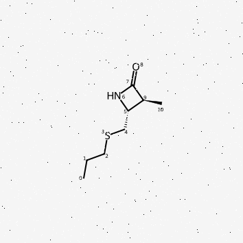 CCCSC[C@@H]1NC(=O)[C@H]1C